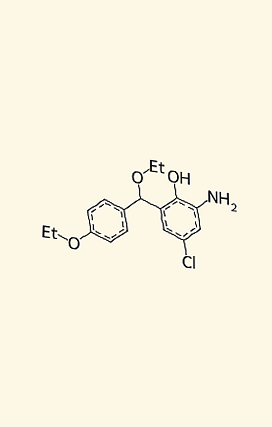 CCOc1ccc(C(OCC)c2cc(Cl)cc(N)c2O)cc1